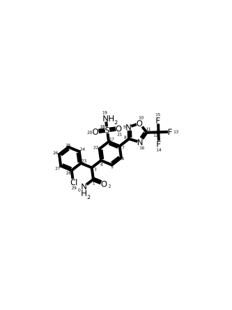 NC(=O)C(c1ccc(-c2noc(C(F)(F)F)n2)c(S(N)(=O)=O)c1)c1ccccc1Cl